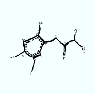 CCC(O)C(=O)Cc1cc(F)c(F)cc1F